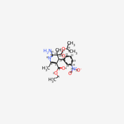 CCOC(=O)C1=C(C)N=C(N)C(C)(C(=O)OC(C)C)C1c1cccc([N+](=O)[O-])c1